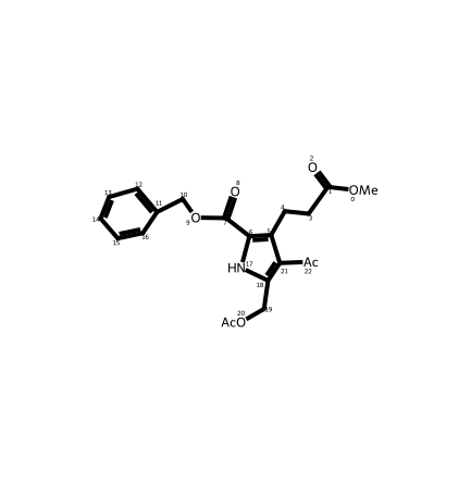 COC(=O)CCc1c(C(=O)OCc2ccccc2)[nH]c(COC(C)=O)c1C(C)=O